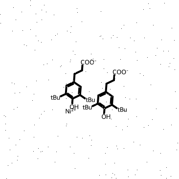 CC(C)(C)c1cc(CCC(=O)[O-])cc(C(C)(C)C)c1O.CC(C)(C)c1cc(CCC(=O)[O-])cc(C(C)(C)C)c1O.[Ni+2]